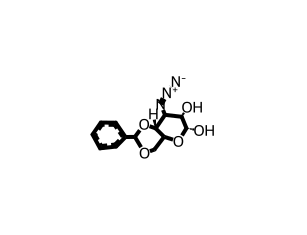 [N-]=[N+]=NC1[C@H]2OC(c3ccccc3)OCC2O[C@@H](O)[C@H]1O